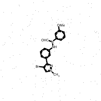 COc1cccc(N(C=O)Nc2cccc(-c3nn(C)cc3Br)c2)c1